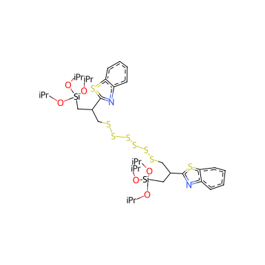 CC(C)O[Si](CC(CSSSSSSCC(C[Si](OC(C)C)(OC(C)C)OC(C)C)c1nc2ccccc2s1)c1nc2ccccc2s1)(OC(C)C)OC(C)C